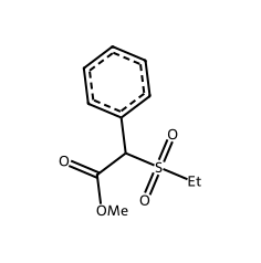 CCS(=O)(=O)C(C(=O)OC)c1ccccc1